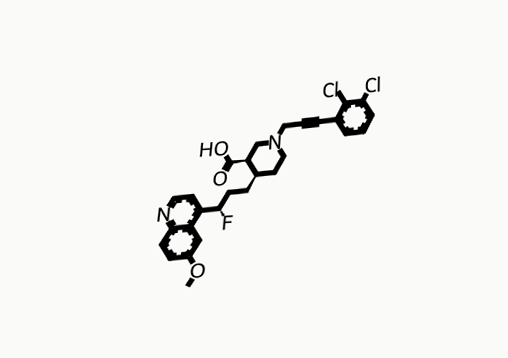 COc1ccc2nccc([C@@H](F)CC[C@@H]3CCN(CC#Cc4cccc(Cl)c4Cl)C[C@@H]3C(=O)O)c2c1